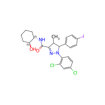 CC1C(C(=O)N[C@H]2CCCC[C@@H]2O)=NN(c2ccc(Cl)cc2Cl)C1c1ccc(I)cc1